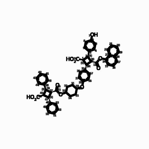 O=C(O)[C@H]1[C@@H](c2ccc(O)cc2)[C@H](C(=O)Oc2cccc3ccccc23)[C@@H]1c1ccc(OC2CCC(OC(=O)[C@H]3[C@H](c4ccccc4)[C@H](C(=O)O)[C@H]3c3ccccc3)CC2)cc1